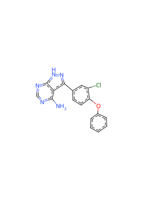 Nc1ncnc2[nH]nc(-c3ccc(Oc4ccccc4)c(Cl)c3)c12